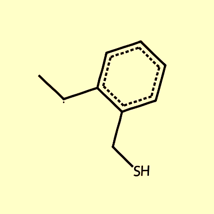 C[CH]c1ccccc1CS